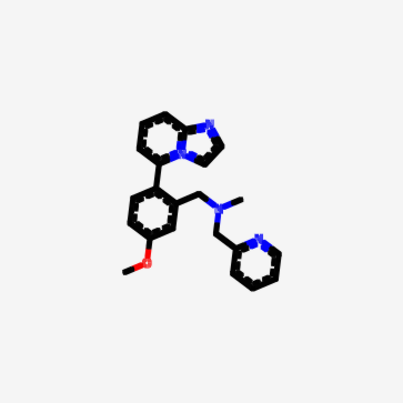 COc1ccc(-c2cccc3nccn23)c(CN(C)Cc2ccccn2)c1